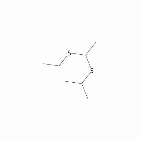 [CH2]C(SCC)SC(C)C